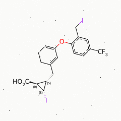 O=C(O)[C@@H]1[C@@H](I)[C@H]1CC1=CC(Oc2ccc(C(F)(F)F)cc2CI)=CCC1